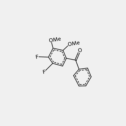 COc1c(C(=O)c2ccccc2)cc(F)c(F)c1OC